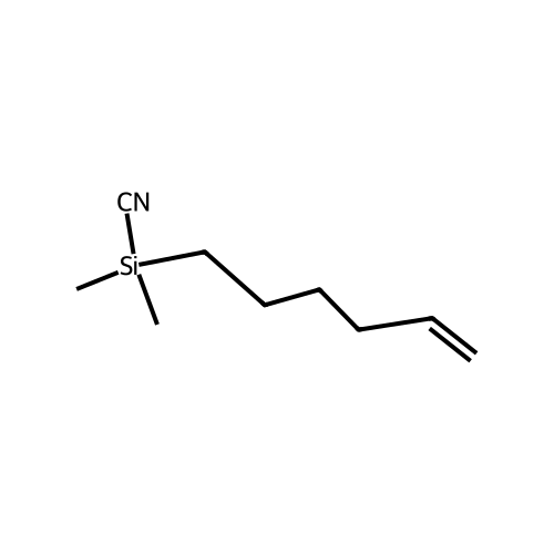 C=CCCCC[Si](C)(C)C#N